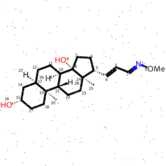 CO/N=C/C=C/[C@H]1CC[C@]2(O)[C@@H]3CC[C@@H]4C[C@@H](O)CC[C@]4(C)[C@H]3CC[C@]12C